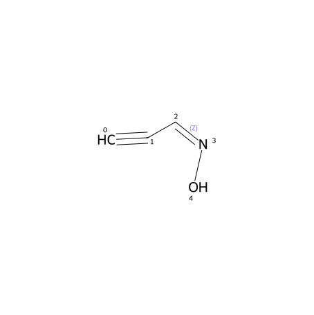 C#C/C=N\O